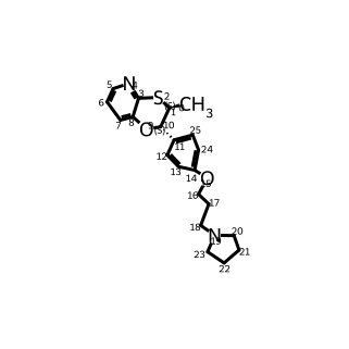 C[C@@H]1Sc2ncccc2O[C@H]1c1ccc(OCCCN2CCCC2)cc1